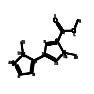 COC(=O)c1cc(-c2ccnn2C)cn1C